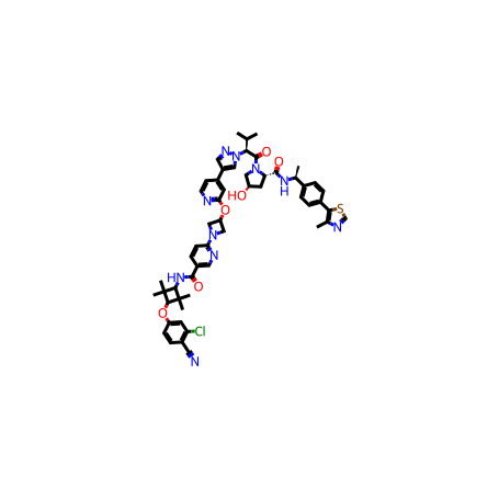 Cc1ncsc1-c1ccc([C@H](C)NC(=O)[C@@H]2C[C@@H](O)CN2C(=O)[C@H](C(C)C)n2cc(-c3ccnc(OC4CN(c5ccc(C(=O)NC6C(C)(C)C(Oc7ccc(C#N)c(Cl)c7)C6(C)C)cn5)C4)c3)cn2)cc1